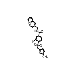 Cn1ccc(CS(=O)(=O)c2ccc(C(=O)NCc3ccn4ccnc4c3)cc2I)n1